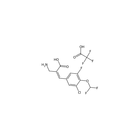 NCC(=Cc1cc(F)c(OC(F)F)c(Cl)c1)C(=O)O.O=C(O)C(F)(F)F